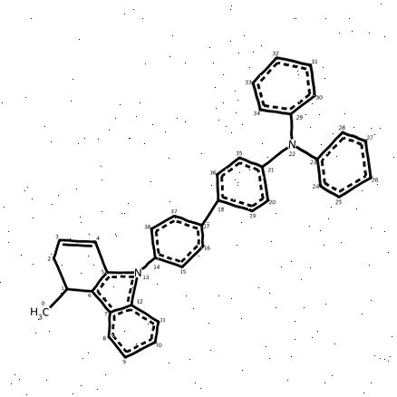 CC1CC=Cc2c1c1ccccc1n2-c1ccc(-c2ccc(N(c3ccccc3)c3ccccc3)cc2)cc1